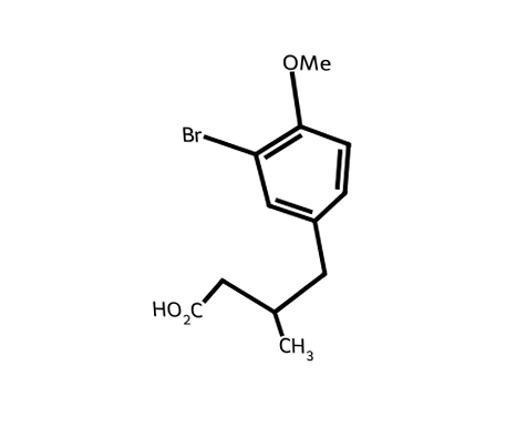 COc1ccc(CC(C)CC(=O)O)cc1Br